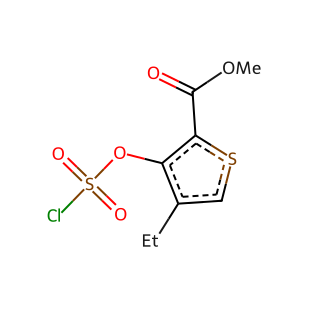 CCc1csc(C(=O)OC)c1OS(=O)(=O)Cl